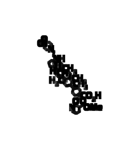 COC(=O)c1cccnc1OC[C@]1(C(=O)O)CC=C(C2=CC[C@@]3(C)C(CC[C@]4(C)C3CC[C@@H]3[C@H]5CCC[C@]5(NCCN5CCS(=O)(=O)CC5)CC[C@]34C)C2(C)C)CC1